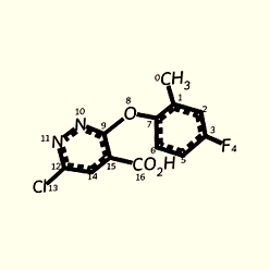 Cc1cc(F)ccc1Oc1nnc(Cl)cc1C(=O)O